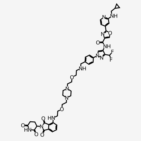 O=C1CCC(N2C(=O)c3cccc(NCCOCCN4CCN(CCOCCNCc5ccc(-n6cc(NC(=O)c7coc(-c8ccnc(NCC9CC9)c8)n7)c(C(F)F)n6)cc5)CC4)c3C2=O)C(=O)N1